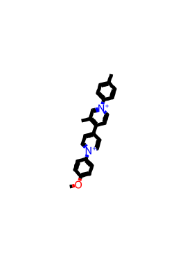 COc1ccc(-[n+]2ccc(-c3cc[n+](-c4ccc(C)cc4)cc3C)cc2)cc1